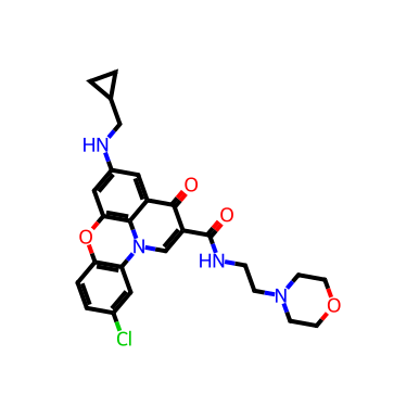 O=C(NCCN1CCOCC1)c1cn2c3c(cc(NCC4CC4)cc3c1=O)Oc1ccc(Cl)cc1-2